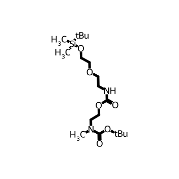 CN(CCOC(=O)NCCOCCO[Si](C)(C)C(C)(C)C)C(=O)OC(C)(C)C